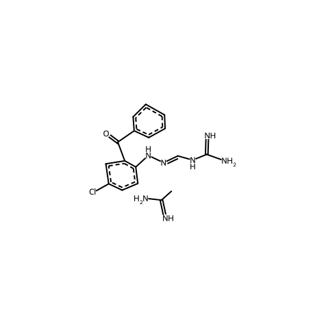 CC(=N)N.N=C(N)NC=NNc1ccc(Cl)cc1C(=O)c1ccccc1